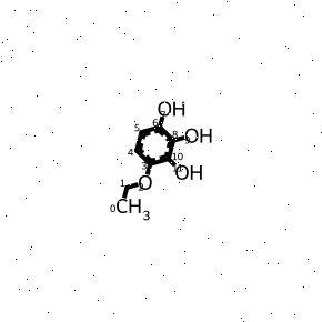 CCOc1ccc(O)c(O)c1O